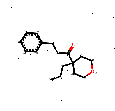 CCCC1(C(=O)CCc2ccccc2)CCOCC1